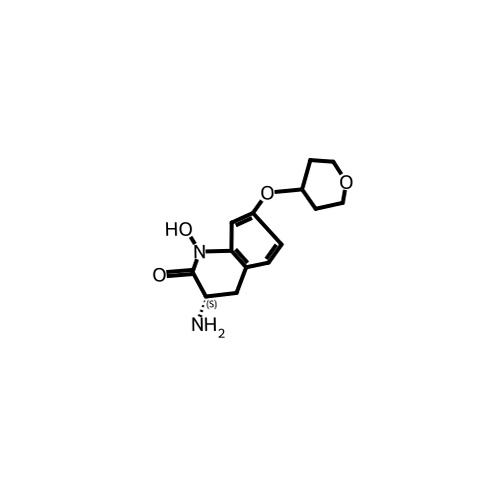 N[C@H]1Cc2ccc(OC3CCOCC3)cc2N(O)C1=O